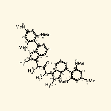 CNc1cc(NC)c(-c2cccc3c(C(C)C(=O)C(C)c4c5cccc(-c6c(NC)cc(NC)cc6NC)c5nn4C)n(C)nc23)c(NC)c1